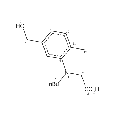 CCCCN(CC(=O)O)c1cc(CO)ccc1C